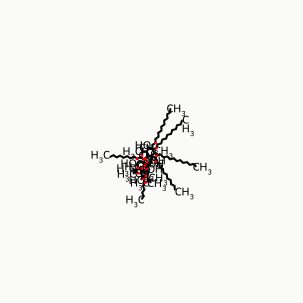 CCCCCCCCCCCCCC1=C(C(C)(C)C)C(O)C(CCCCCCCCCCCCC)(CCCCCCCCCCCCC)C(C)(CCCCCCCCCCCCC)C1(CCCCCCCCCCCCC)P(O)(O)(CCCCCCCCCCCCC)OP(O)(O)(c1cc(C(C)(C)C)c(O)cc1C)c1cc(C(C)(C)C)c(O)cc1C